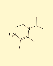 CCN(C(C)=C(C)[SiH3])C(C)C